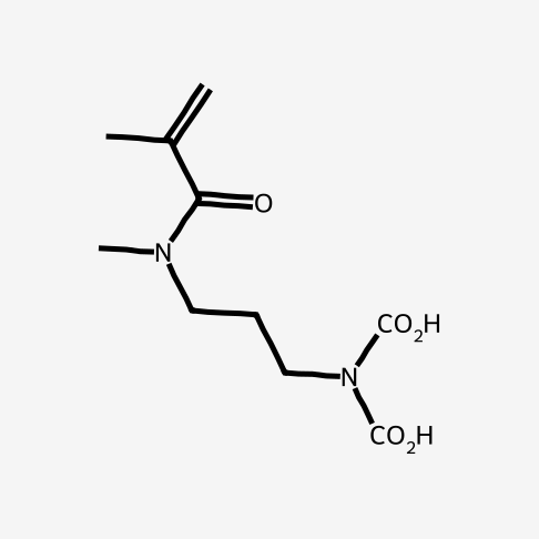 C=C(C)C(=O)N(C)CCCN(C(=O)O)C(=O)O